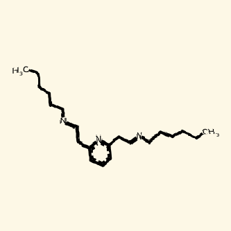 CCCCCCN=CCc1cccc(CC=NCCCCCC)n1